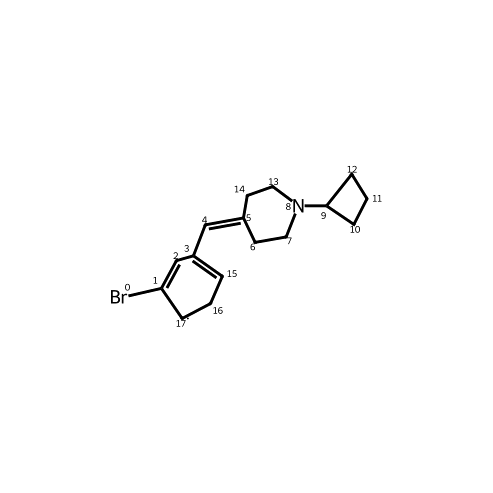 BrC1=CC(C=C2CCN(C3CCC3)CC2)=CC[CH]1